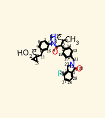 CC(C(C(=O)Nc1cccc(CC2(C(=O)O)CC2)c1)c1ccc(CN2Cc3c(F)cccc3C2=O)cc1)C(F)(F)F